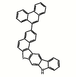 c1ccc2c(c1)cc(-c1ccc3c(ccc4sc5cc6[nH]c7ccccc7c6cc5c43)c1)c1ccccc12